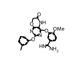 COc1ccc(C(=N)N)cc1Oc1nc(Oc2cccc(C)c2)nc2c1NC(=O)CO2